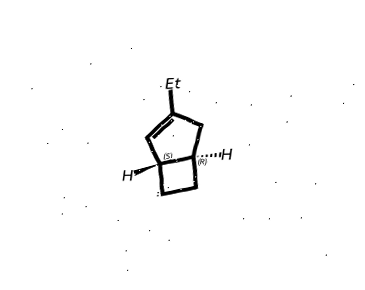 CCC1=C[C@H]2[C]C[C@@H]2C1